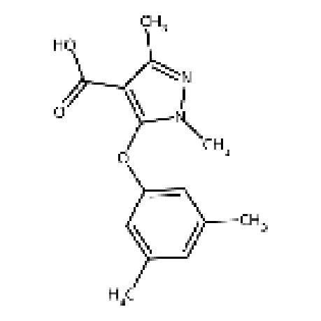 Cc1cc(C)cc(Oc2c(C(=O)O)c(C)nn2C)c1